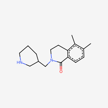 Cc1ccc2c(c1C)CCN(CC1CCCNC1)C2=O